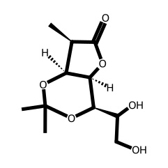 C[C@H]1C(=O)O[C@@H]2[C@H]1OC(C)(C)O[C@@H]2C(O)CO